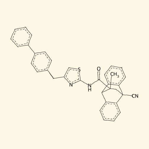 CC1(C(=O)Nc2nc(Cc3ccc(-c4ccccc4)cc3)cs2)CC2(C#N)c3ccccc3C1c1ccccc12